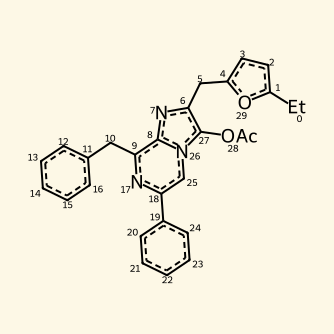 CCc1ccc(Cc2nc3c(Cc4ccccc4)nc(-c4ccccc4)cn3c2OC(C)=O)o1